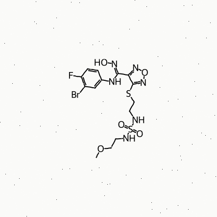 COCCNS(=O)(=O)NCCSc1nonc1/C(=N/O)Nc1ccc(F)c(Br)c1